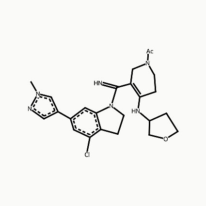 CC(=O)N1CCC(NC2CCOC2)=C(C(=N)N2CCc3c(Cl)cc(-c4cnn(C)c4)cc32)C1